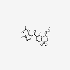 CCn1ncc(C(=O)c2ccc3c(c2C)/C(=N/OC)CCS3(=O)=O)c1OC(C)=O